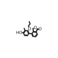 CCCOc1c(-c2cccc3c2COC3=O)ccc(O)c1C